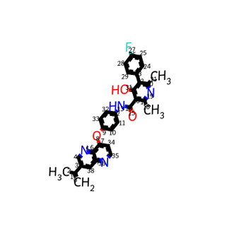 C=C(C)c1cnc2c(Oc3ccc(NC(=O)c4c(C)nc(C)c(-c5ccc(F)cc5)c4O)cc3)ccnc2c1